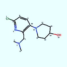 CN(C)Cc1nc(Cl)ccc1N1CCC(O)CC1